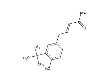 CC(C)(C)c1cc(CC=CC(N)=O)ccc1O